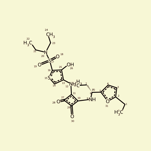 CCc1ccc([C@@H](CC)Nc2c(Nc3csc(S(=O)(=O)N(CC)CC)c3O)c(=O)c2=O)o1